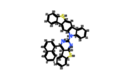 c1ccc2c(-c3nc(-n4c5ccccc5c5cc6sc7ccccc7c6cc54)nc4sc5ccccc5c34)cccc2c1